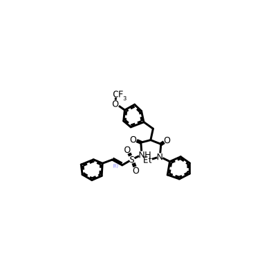 CCN(C(=O)C(Cc1ccc(OC(F)(F)F)cc1)C(=O)NS(=O)(=O)/C=C/c1ccccc1)c1ccccc1